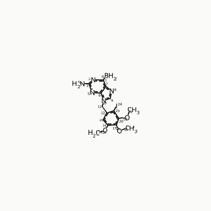 Bc1nc(N)nc2c1ncn2Cc1cc(OC)c(OC)c(OC)c1I